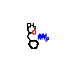 C=CC(=O)Cc1ccccc1.N.N